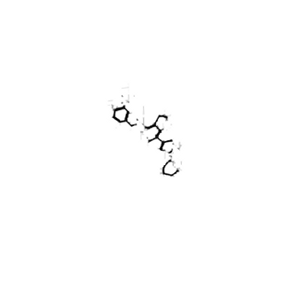 Nc1cc(CNc2ncc(-c3cnn(C4CCCCO4)c3)c3c2CCO3)ccc1F